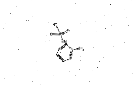 Cc1ccccc1.N#CS(=O)(=O)C#N